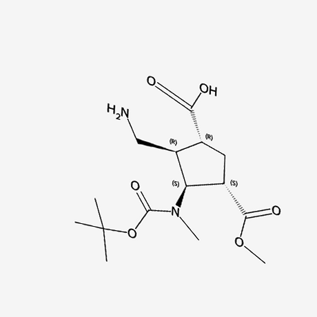 COC(=O)[C@H]1C[C@@H](C(=O)O)[C@H](CN)[C@@H]1N(C)C(=O)OC(C)(C)C